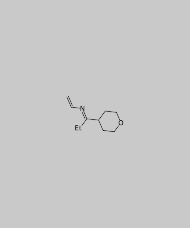 C=C/N=C(\CC)C1CCOCC1